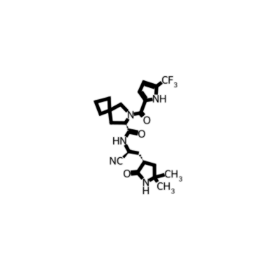 CC1(C)C[C@@H](C[C@@H](C#N)NC(=O)[C@@H]2CC3(CCC3)CN2C(=O)c2ccc(C(F)(F)F)[nH]2)C(=O)N1